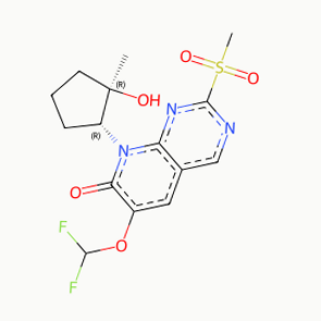 C[C@@]1(O)CCC[C@H]1n1c(=O)c(OC(F)F)cc2cnc(S(C)(=O)=O)nc21